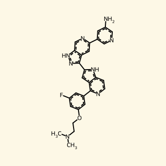 CN(C)CCOc1cc(F)cc(-c2nccc3[nH]c(-c4n[nH]c5cnc(-c6cncc(N)c6)cc45)cc23)c1